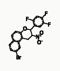 O=[N+]([O-])C1Cc2c(ccc3ccc(Br)cc23)OC1c1cc(F)c(F)cc1F